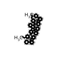 CCCc1ccc(N(c2ccc3c(c2)C(c2ccccc2)(c2ccccc2)c2cc(N(c4ccc(CCC)cc4)c4cccc5c4oc4c(C6CCCCC6)cccc45)c4ccccc4c2-3)c2cccc3c2oc2c(C4CCCCC4)cccc23)cc1